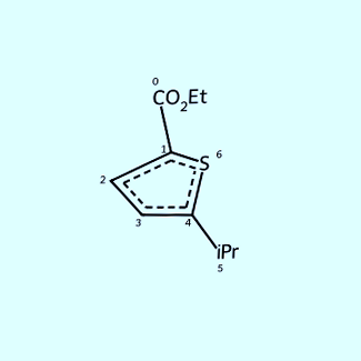 CCOC(=O)c1ccc(C(C)C)s1